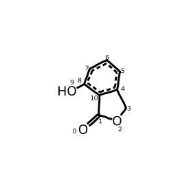 O=C1OCc2cccc(O)c21